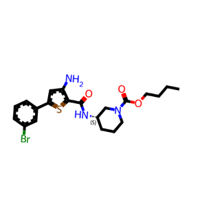 CCCCOC(=O)N1CCC[C@H](NC(=O)c2sc(-c3cccc(Br)c3)cc2N)C1